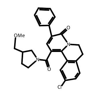 COCC1CCN(C(=O)c2cc(-c3ccccc3)c(=O)n3c2-c2cc(Cl)ccc2CC3)C1